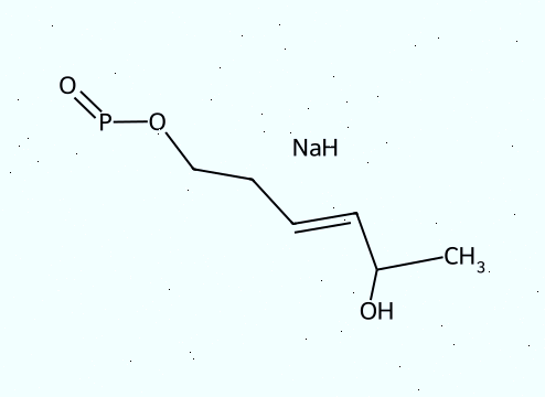 CC(O)C=CCCOP=O.[NaH]